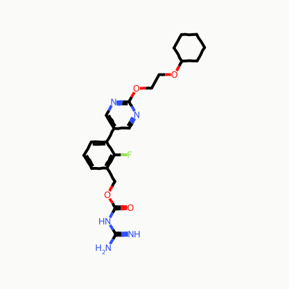 N=C(N)NC(=O)OCc1cccc(-c2cnc(OCCOC3CCCCC3)nc2)c1F